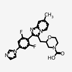 Cc1ccn2c(CC3CN(C(=O)O)CCO3)c(-c3c(F)cc(-n4ccnc4)cc3F)nc2c1